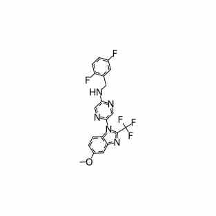 COc1ccc2c(c1)nc(C(F)(F)F)n2-c1cnc(NCc2cc(F)ccc2F)cn1